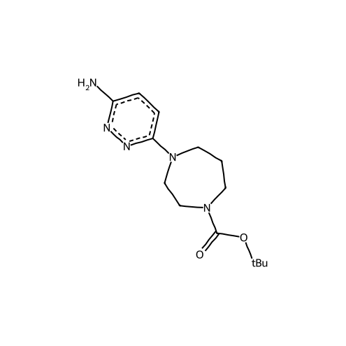 CC(C)(C)OC(=O)N1CCCN(c2ccc(N)nn2)CC1